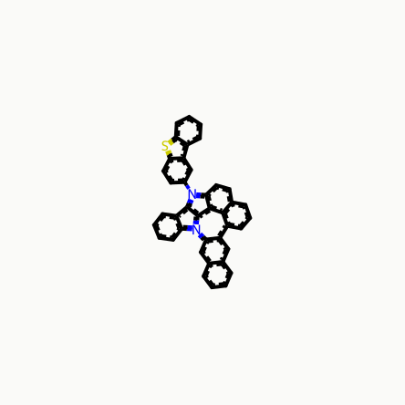 c1ccc2cc3c(cc2c1)c1cccc2ccc4c(c21)c1c(c2ccccc2n31)n4-c1ccc2sc3ccccc3c2c1